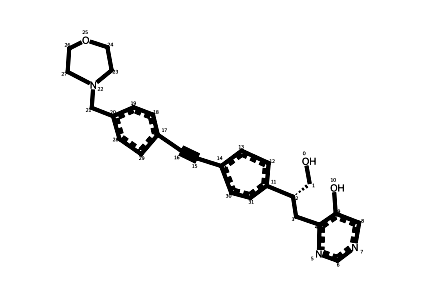 OC[C@H](Cc1ncncc1O)c1ccc(C#Cc2ccc(CN3CCOCC3)cc2)cc1